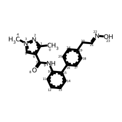 Cc1nn(C)cc1C(=O)Nc1ccccc1-c1ccc(CC=NO)cc1